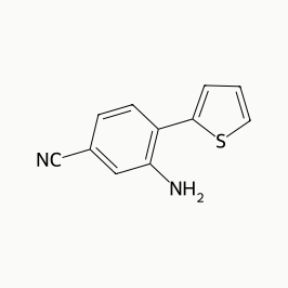 N#Cc1ccc(-c2cccs2)c(N)c1